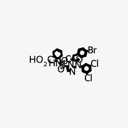 C[C@@]1(Cc2ccc(Br)cc2)C(=O)N(c2cc(Cl)cc(Cl)c2)c2ncc(S(=O)(=O)NC3CC=CCC3C(=O)O)n21